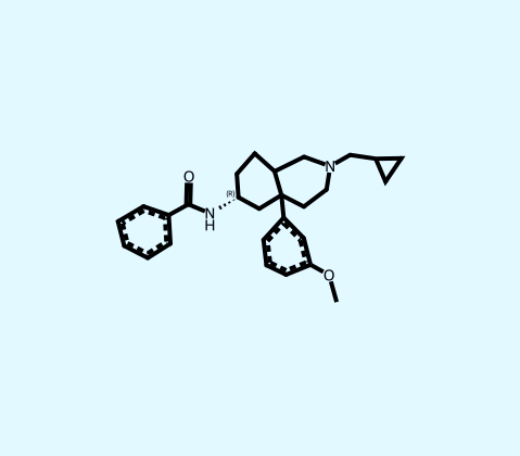 COc1cccc(C23CCN(CC4CC4)CC2CC[C@@H](NC(=O)c2ccccc2)C3)c1